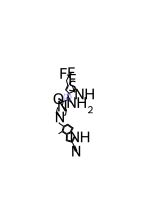 Cc1c(CN2CCN(C(=O)/C(N)=C3\C=C(CC(F)(F)F)SC3=N)CC2)ccc2[nH]c(C#N)cc12